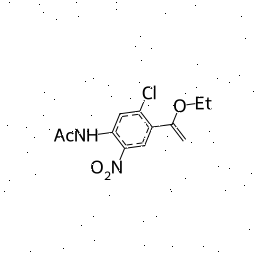 C=C(OCC)c1cc([N+](=O)[O-])c(NC(C)=O)cc1Cl